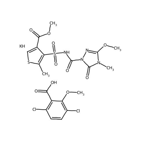 COC(=O)c1csc(C)c1S(=O)(=O)NC(=O)n1nc(OC)n(C)c1=O.COc1c(Cl)ccc(Cl)c1C(=O)O.[KH]